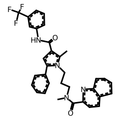 Cc1c(C(=O)Nc2cccc(C(F)(F)F)c2)cc(-c2ccccc2)n1CCCN(C)C(=O)c1ccc2ccccc2n1